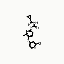 Cc1nc(-n2nc(C3CC3)[nH]c2=O)ccc1Oc1ccnc(Cl)c1